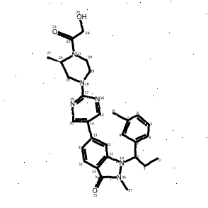 CCC(c1cccc(C)c1)n1c2cc(-c3cnc(N4CCN(C(=O)CO)[C@H](C)C4)nc3)ccc2c(=O)n1C